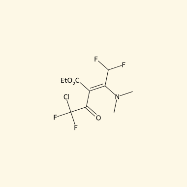 CCOC(=O)C(C(=O)C(F)(F)Cl)=C(C(F)F)N(C)C